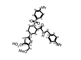 CCCc1ccc(S(=O)(=O)N2CCN(c3nc(COC)c(C(=O)O)s3)CC2C(=O)NCc2ccc(C(C)C)cc2)cc1